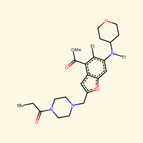 CCc1c(N(CC)C2CCOCC2)cc2oc(CN3CCN(C(=O)CC(C)(C)C)CC3)cc2c1C(=O)OC